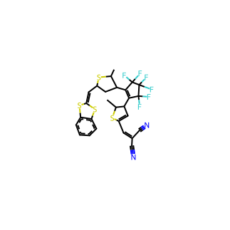 CC1SC(C=C(C#N)C#N)=CC1C1=C(C2CC(C=C3Sc4ccccc4S3)SC2C)C(F)(F)C(F)(F)C1(F)F